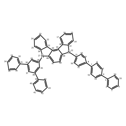 c1ccc(-c2ccc(-c3ccc(-n4c5ccccc5c5c6c7ccccc7n(-c7cc(-c8ccccc8)cc(-c8ccccc8)c7)c6ccc54)cc3)cc2)cc1